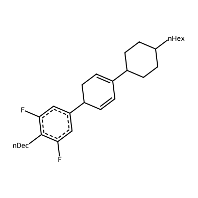 CCCCCCCCCCc1c(F)cc(C2C=CC(C3CCC(CCCCCC)CC3)=CC2)cc1F